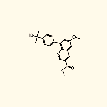 COC(=O)c1cnc2c(-c3ccc(C(C)(C)O)cc3)cc(OC)cc2c1